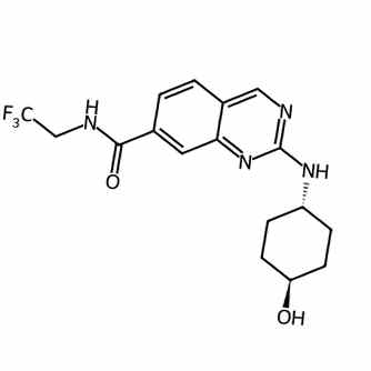 O=C(NCC(F)(F)F)c1ccc2cnc(N[C@H]3CC[C@H](O)CC3)nc2c1